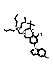 CCC[CH2][Sn]([CH2]CCC)([CH2]CCC)[CH2]N1Cc2cc(-n3ccc4cc(F)ccc43)cc(Cl)c2OC(C(C)(C)C)C1